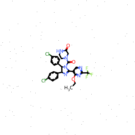 CCOc1nc(C(F)(F)F)ncc1C1=NC(c2ccc(Cl)cc2)C(c2ccc(Cl)cc2)N1C(=O)N1CCNC(=O)C1